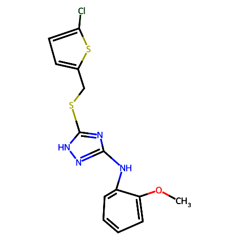 COc1ccccc1Nc1n[nH]c(SCc2ccc(Cl)s2)n1